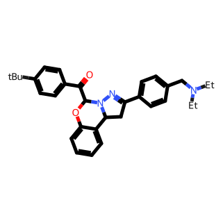 CCN(CC)Cc1ccc(C2=NN3C(C(=O)c4ccc(C(C)(C)C)cc4)Oc4ccccc4C3C2)cc1